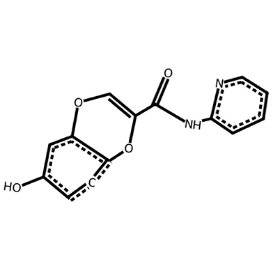 O=C(Nc1ccccn1)C1=COc2cc(O)ccc2O1